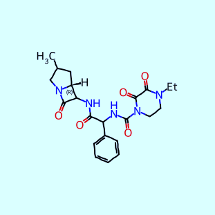 CCN1CCN(C(=O)NC(C(=O)NC2C(=O)N3CC(C)C[C@H]23)c2ccccc2)C(=O)C1=O